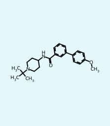 COc1ccc(-c2cccc(C(=O)NC3CCN(C(C)(C)C)CC3)c2)cc1